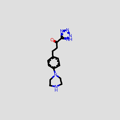 O=C(CCc1ccc(N2CCNCC2)cc1)c1nnn[nH]1